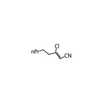 CCCCCC(Cl)=CC#N